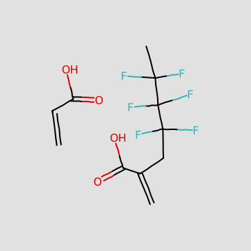 C=C(CC(F)(F)C(F)(F)C(C)(F)F)C(=O)O.C=CC(=O)O